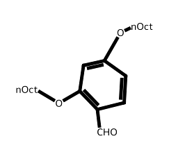 CCCCCCCCOc1ccc(C=O)c(OCCCCCCCC)c1